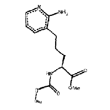 COC(=O)[C@H](CCCc1cccnc1N)NC(=O)OC(C)(C)C